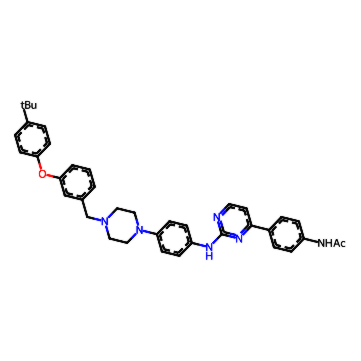 CC(=O)Nc1ccc(-c2ccnc(Nc3ccc(N4CCN(Cc5cccc(Oc6ccc(C(C)(C)C)cc6)c5)CC4)cc3)n2)cc1